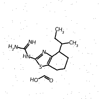 CCC(C)C1CCCc2sc(NC(=N)N)nc21.O=CO